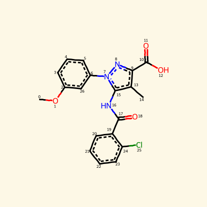 COc1cccc(-n2nc(C(=O)O)c(C)c2NC(=O)c2ccccc2Cl)c1